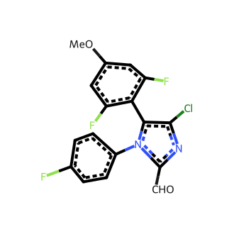 COc1cc(F)c(-c2c(Cl)nc(C=O)n2-c2ccc(F)cc2)c(F)c1